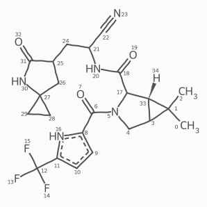 CC1(C)C2CN(C(=O)c3ccc(C(F)(F)F)[nH]3)C(C(=O)NC(C#N)CC3CC4(CC4)NC3=O)[C@@H]21